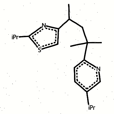 CC(C)c1ccc(C(C)(C)CC(C)c2csc(C(C)C)n2)nc1